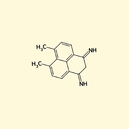 Cc1ccc2c3c(ccc(C)c13)C(=N)CC2=N